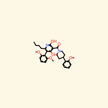 CCCCc1nc(O)c(C(=O)N2CCC(c3ccccc3OC)CC2)c(O)c1-c1c(OC)cccc1OC